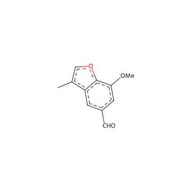 COc1cc(C=O)cc2c(C)coc12